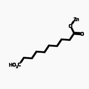 O=C(O)CCCCCCCCC(=O)[O][Zn]